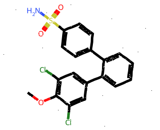 COc1c(Cl)cc(-c2ccccc2-c2ccc(S(N)(=O)=O)cc2)cc1Cl